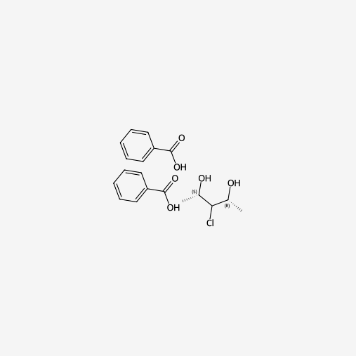 C[C@H](O)C(Cl)[C@@H](C)O.O=C(O)c1ccccc1.O=C(O)c1ccccc1